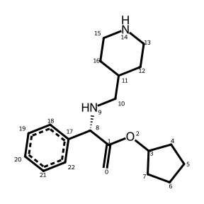 C=C(OC1CCCC1)[C@@H](NCC1CCNCC1)c1ccccc1